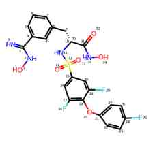 N=C(NO)c1cccc(C[C@@H](NS(=O)(=O)c2cc(F)c(Oc3ccc(F)cc3)c(F)c2)C(=O)NO)c1